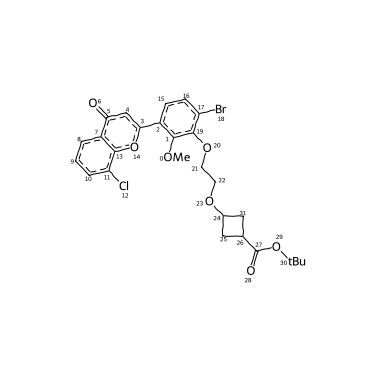 COc1c(-c2cc(=O)c3cccc(Cl)c3o2)ccc(Br)c1OCCOC1CC(C(=O)OC(C)(C)C)C1